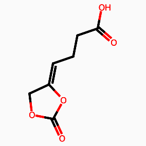 O=C(O)CCC=C1COC(=O)O1